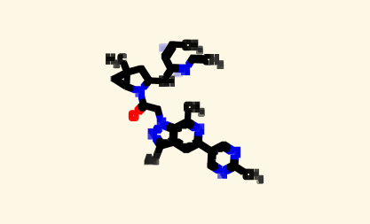 C=C/N=C(BC1CC2(C)CC2N1C(=O)Cn1nc(C(C)=O)c2cc(-c3cnc(C)nc3)nc(C)c21)\C=C/C